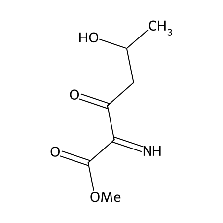 COC(=O)C(=N)C(=O)CC(C)O